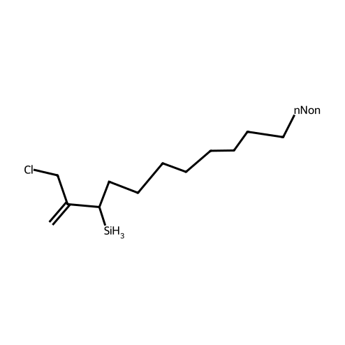 C=C(CCl)C([SiH3])CCCCCCCCCCCCCCCCC